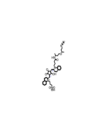 CC(CCOC(C)CCN=[N+]=[N-])NC(=O)CCCN1/C(=C/C2=C(O)C(=C/c3ccc4ccccc4[n+]3CCCS(=O)(=O)O)/C(=O)C2=O)C=Cc2ccccc21